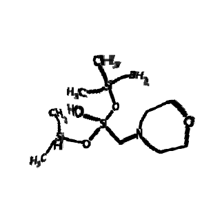 B[Si](C)(C)O[Si](O)(CN1CCOCC1)O[SiH](C)C